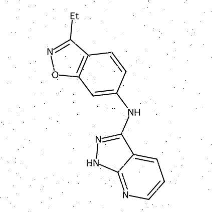 CCc1noc2cc(Nc3n[nH]c4ncccc34)ccc12